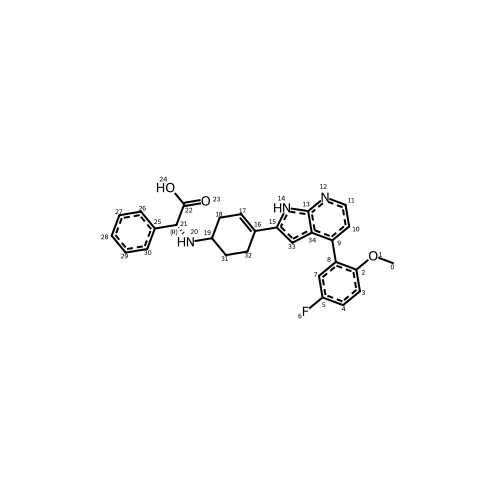 COc1ccc(F)cc1-c1ccnc2[nH]c(C3=CCC(N[C@@H](C(=O)O)c4ccccc4)CC3)cc12